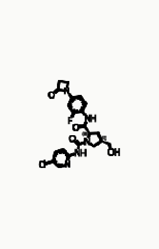 O=C(Nc1ccc(N2CCC2=O)cc1F)[C@H]1C[C@@H](CO)CN1C(=O)Nc1ccc(Cl)cn1